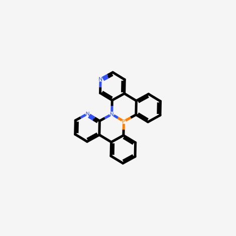 c1ccc2c(c1)-c1ccncc1N1c3ncccc3-c3ccccc3P21